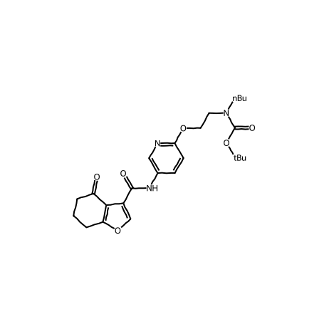 CCCCN(CCOc1ccc(NC(=O)c2coc3c2C(=O)CCC3)cn1)C(=O)OC(C)(C)C